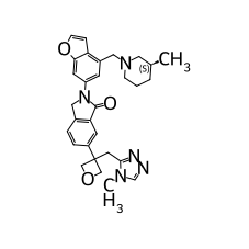 C[C@H]1CCCN(Cc2cc(N3Cc4ccc(C5(Cc6nncn6C)COC5)cc4C3=O)cc3occc23)C1